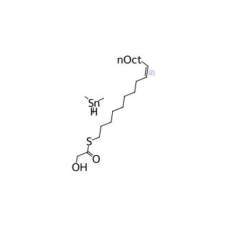 CCCCCCCC/C=C\CCCCCCCCSC(=O)CO.[CH3][SnH]([CH3])[CH3]